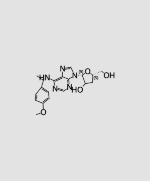 COc1ccc(C(C)Nc2ncnc3c2ncn3[C@@H]2O[C@H](CO)CC2O)cc1